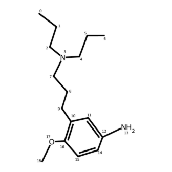 CCCN(CCC)CCCc1cc(N)ccc1OC